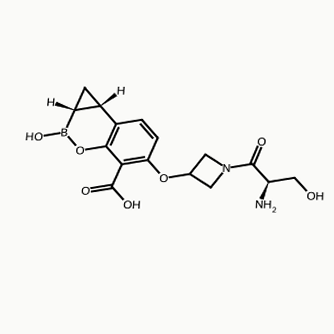 N[C@H](CO)C(=O)N1CC(Oc2ccc3c(c2C(=O)O)OB(O)[C@@H]2C[C@H]32)C1